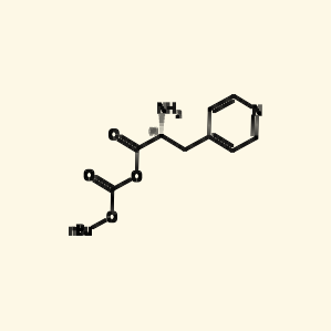 CCCCOC(=O)OC(=O)[C@H](N)Cc1ccncc1